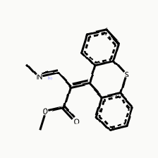 C/N=C/C(C(=O)OC)=C1c2ccccc2Sc2ccccc21